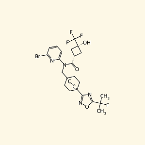 CC(C)(F)c1nc(C23CCC(CN(c4cccc(Br)n4)C(=O)[C@H]4C[C@](O)(C(F)(F)F)C4)(CC2)CC3)no1